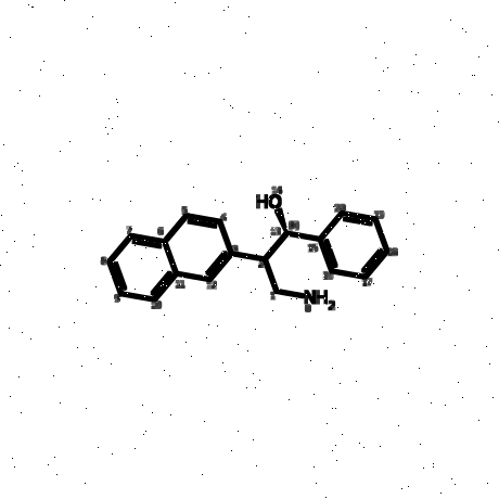 NCC(c1ccc2ccccc2c1)[C@@H](O)c1ccccc1